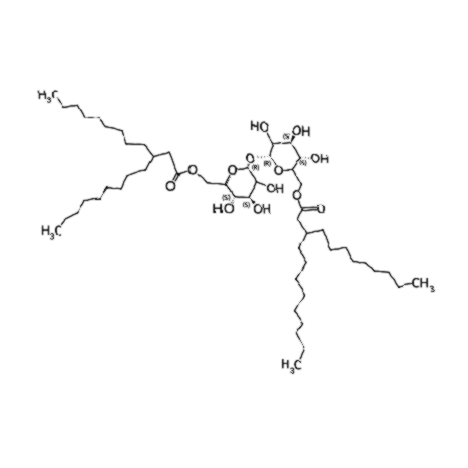 CCCCCCCCCC(CCCCCCCCC)CC(=O)OCC1O[C@H](O[C@H]2OC(COC(=O)CC(CCCCCCCCC)CCCCCCCCC)[C@@H](O)[C@H](O)C2O)C(O)[C@@H](O)[C@@H]1O